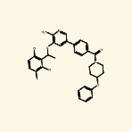 CC(Oc1cc(-c2ccc(C(=O)N3CCC(Oc4ccccc4)CC3)cc2)cnc1N)c1c(Cl)ccc(F)c1Cl